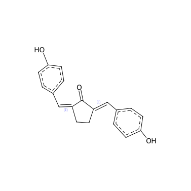 O=C1/C(=C\c2ccc(O)cc2)CC/C1=C\c1ccc(O)cc1